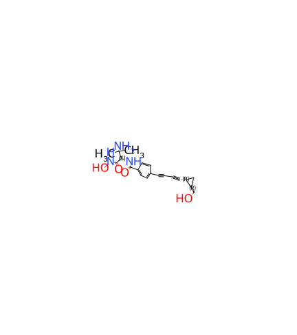 CC(C)(N)[C@H](NC(=O)c1ccc(C#CC#C[C@@H]2C[C@H]2CO)cc1)C(=O)NO